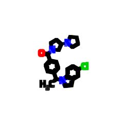 CC(c1ccc(C(=O)N2CC[C@H](N3CCCC3)C2)cc1)n1ccc2cc(Cl)ccc21